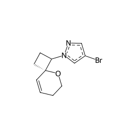 Brc1cnn(C2CC[C@]23C=CCCO3)c1